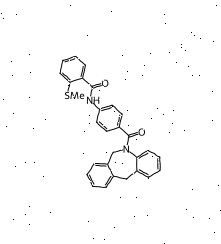 CSc1ccccc1C(=O)Nc1ccc(C(=O)N2Cc3ccccc3Cc3ccccc32)cc1